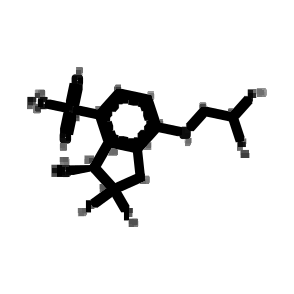 O=S(=O)(c1ccc(OCC(F)F)c2c1[C@H](O)C(F)(F)C2)C(F)(F)F